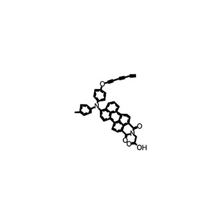 C#CC#CC#COc1ccc(N(c2ccc(C)cc2)c2ccc3c4ccc5c6c(ccc(c7cccc2c73)c64)C(=O)N(CC(=O)O)C5=O)cc1